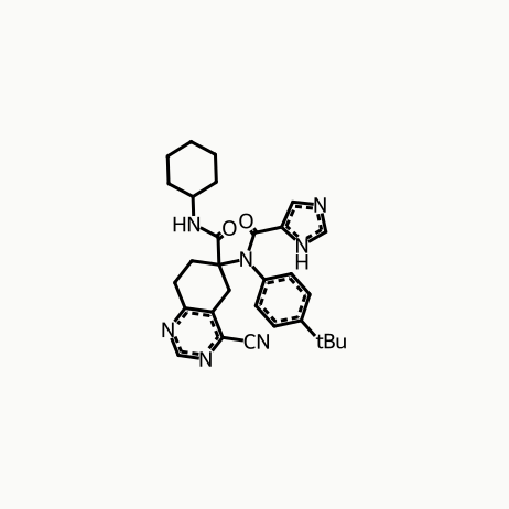 CC(C)(C)c1ccc(N(C(=O)c2cnc[nH]2)C2(C(=O)NC3CCCCC3)CCc3ncnc(C#N)c3C2)cc1